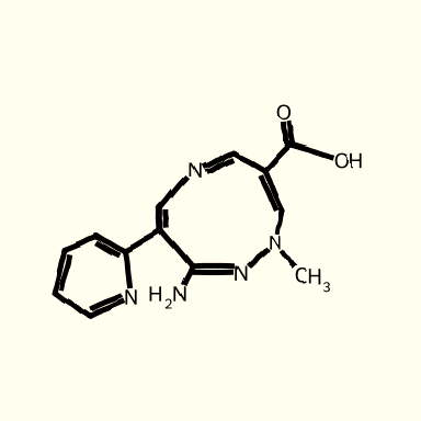 Cn1cc(C(=O)O)cncc(-c2ccccn2)c(N)n1